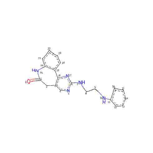 O=C1Cc2cnc(NCCNc3ccccc3)nc2-c2ccccc2N1